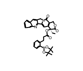 CC[C@@]1(OC(=O)CCc2ccccc2B2OC(C)(C)C(C)(C)O2)C(=O)OCc2c1cc1n(c2=O)Cc2cc3ccccc3nc2-1